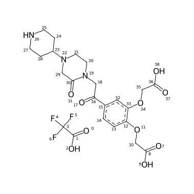 O=C(O)C(F)(F)F.O=C(O)COc1ccc(C(=O)CN2CCN(C3CCNCC3)CC2=O)cc1OCC(=O)O